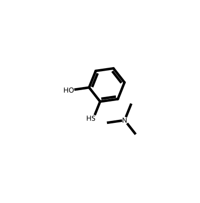 CN(C)C.Oc1ccccc1S